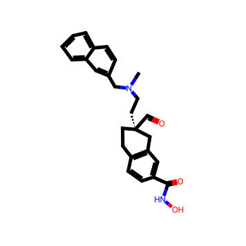 CN(CC[C@@]1(C=O)CCc2ccc(C(=O)NO)cc2C1)Cc1ccc2ccccc2c1